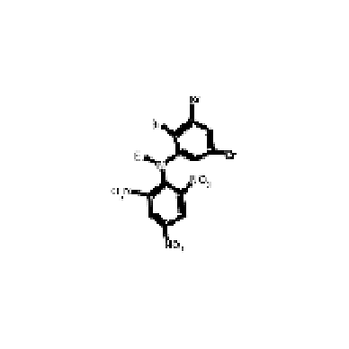 CCN(c1cc(Br)cc(Br)c1Br)c1c([N+](=O)[O-])cc([N+](=O)[O-])cc1[N+](=O)[O-]